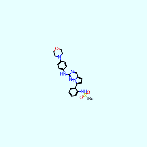 CC(C)(C)S(=O)(=O)Nc1ccccc1-c1ccc2cnc(Nc3ccc(N4CCOCC4)cc3)nn12